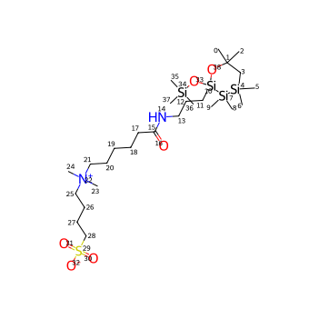 CC1(C)C[Si](C)(C)[Si](C)(C)[Si](CCCNC(=O)CCCCC[N+](C)(C)CCCCS(=O)(=O)[O-])(O[Si](C)(C)C)O1